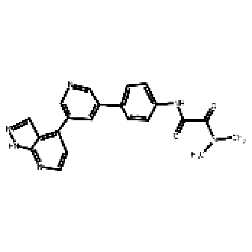 CN(C)C(=O)C(=O)Nc1ccc(-c2cncc(-c3ccnc4[nH]ncc34)c2)cc1